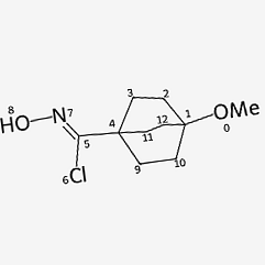 COC12CCC(C(Cl)=NO)(CC1)CC2